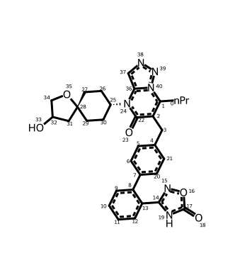 CCCc1c(Cc2ccc(-c3ccccc3-c3noc(=O)[nH]3)cc2)c(=O)n([C@H]2CC[C@@]3(CC2)CC(O)CO3)c2cnnn12